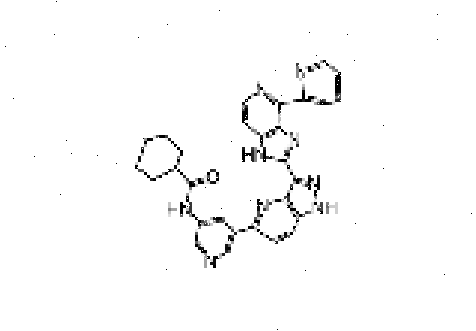 O=C(Nc1cncc(-c2ccc3[nH]nc(-c4nc5c(-c6ccccn6)nccc5[nH]4)c3n2)c1)C1CCCCC1